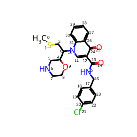 CSCC(C1CNCCO1)n1cc(C(=O)NCc2ccc(Cl)cc2)c(=O)c2ccccc21